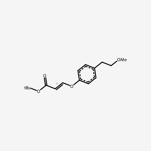 COCCc1ccc(O/C=C/C(=O)OC(C)(C)C)cc1